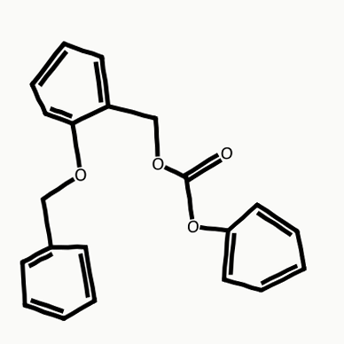 O=C(OCc1ccccc1OCc1ccccc1)Oc1ccccc1